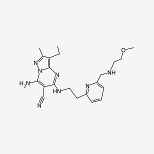 CCc1c(C)nn2c(N)c(C#N)c(NCCc3cccc(CNCCOC)n3)nc12